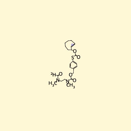 [2H]C(=O)N(C)CCN(C)C(=O)OCc1ccc(SC(=O)OC2/C=C/CCCCC2)cc1